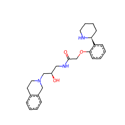 O=C(COc1ccccc1[C@@H]1CCCCN1)NC[C@@H](O)CN1CCc2ccccc2C1